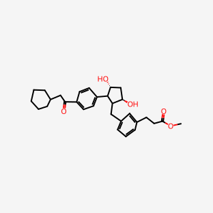 COC(=O)CCc1cccc(CC2C(c3ccc(C(=O)CC4CCCCC4)cc3)[C@H](O)C[C@H]2O)c1